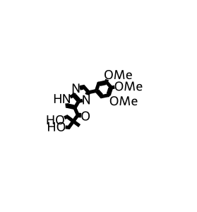 COc1cc(-c2cnc3[nH]cc(C(=O)C(C)(CO)CO)c3n2)cc(OC)c1OC